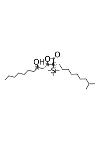 CCCCCCC[C@@H](O)C[C@@H]1OC(=O)[C@@]1(CCCCCCCC(C)C)[Si](C)(C)C